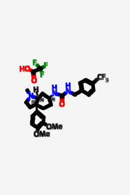 COc1ccc([C@@]23CC[C@@H](NC(=O)NCc4ccc(C(F)(F)F)cc4)C[C@@H]2N(C)CC3)cc1OC.O=C(O)C(F)(F)F